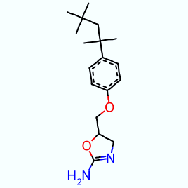 CC(C)(C)CC(C)(C)c1ccc(OCC2CN=C(N)O2)cc1